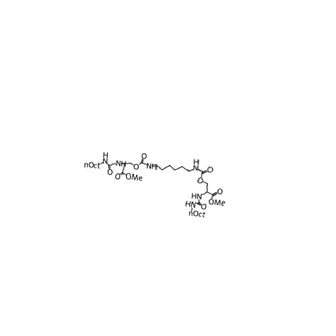 CCCCCCCCNC(=O)NC(COC(=O)NCCCCCCNC(=O)OCC(NC(=O)NCCCCCCCC)C(=O)OC)C(=O)OC